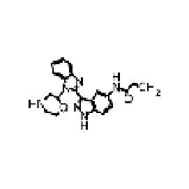 C=CC(=O)Nc1ccc2[nH]nc(-c3nc4ccccc4n3C3CNCCO3)c2c1